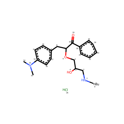 CCCCNCC(O)COC(Cc1ccc(N(C)C)cc1)C(=O)c1ccccc1.Cl